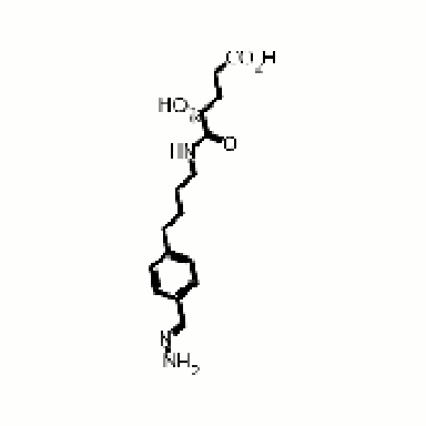 NN=Cc1ccc(CCCCNC(=O)[C@H](O)CCC(=O)O)cc1